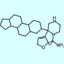 NC(=O)N1CCNCC1(C1=CCOC1)C1CCC2C(CCC3C4CCCC4CCC23)C1